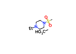 CC(=O)O.CCN1CCN(S(C)(=O)=O)CC1